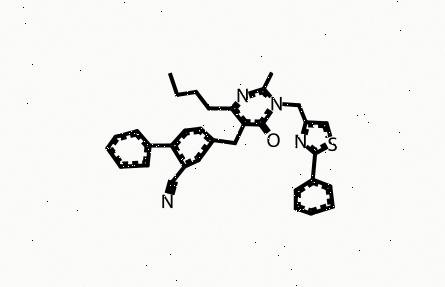 CCCCc1nc(C)n(Cc2csc(-c3ccccc3)n2)c(=O)c1Cc1ccc(-c2ccccc2)c(C#N)c1